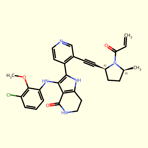 C=CC(=O)N1[C@H](C#Cc2cnccc2-c2[nH]c3c(c2Nc2cccc(Cl)c2OC)C(=O)NCC3)CC[C@@H]1C